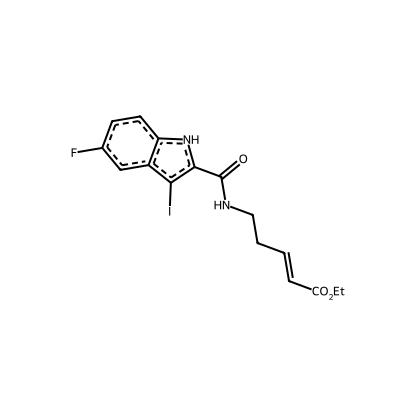 CCOC(=O)C=CCCNC(=O)c1[nH]c2ccc(F)cc2c1I